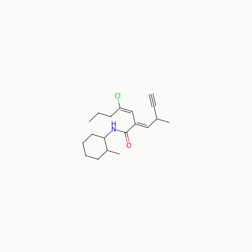 C#CC(C)/C=C(\C=C(\Cl)CCC)C(=O)NC1CCCCC1C